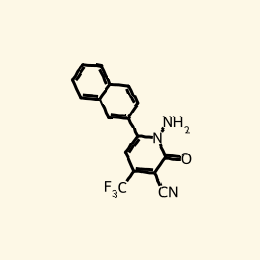 N#Cc1c(C(F)(F)F)cc(-c2ccc3ccccc3c2)n(N)c1=O